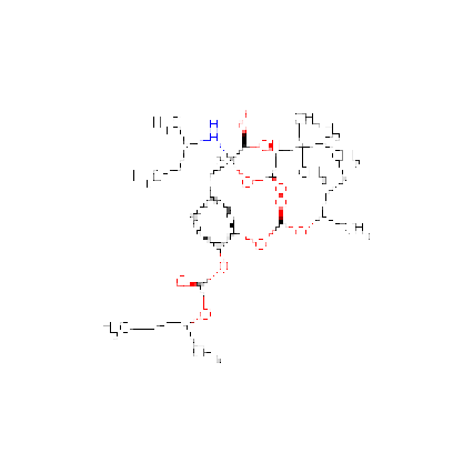 CCCC(C)OC(=O)Oc1ccc(C[C@](NC(C)CC)(OC(=O)CC(C)(C)C)C(=O)O)cc1OC(=O)OC(C)CCC